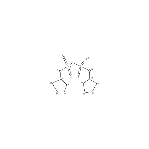 O=S(=O)(CS(=O)(=O)OC1CCCC1)OC1CCCC1